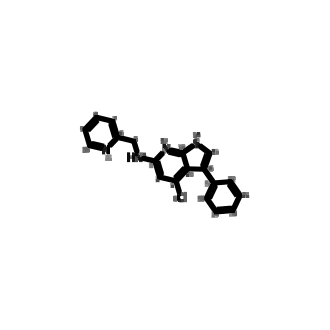 Clc1cc(NCc2ccccn2)nc2scc(-c3ccccc3)c12